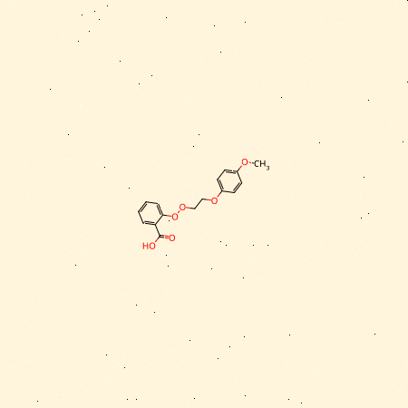 COc1ccc(OCCOOc2ccccc2C(=O)O)cc1